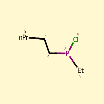 CCCCCP(Cl)CC